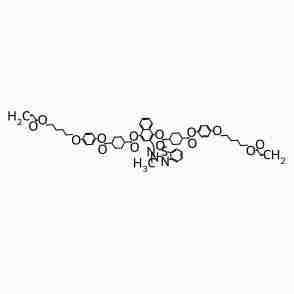 C=CC(=O)OCCCCCCOc1ccc(OC(=O)C2CCC(C(=O)Oc3cc(/C=N/N(C)c4nc5ccccc5s4)c(OC(=O)C4CCC(C(=O)Oc5ccc(OCCCCCCOC(=O)C=C)cc5)CC4)c4ccccc34)CC2)cc1